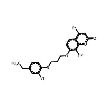 CCCc1c(OCCCSc2ccc(CC(=O)O)cc2Cl)ccc2c(CC)cc(=O)oc12